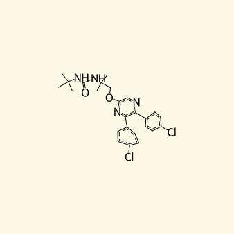 CC(C)(C)NC(=O)NC(C)(C)COc1cnc(-c2ccc(Cl)cc2)c(-c2ccc(Cl)cc2)n1